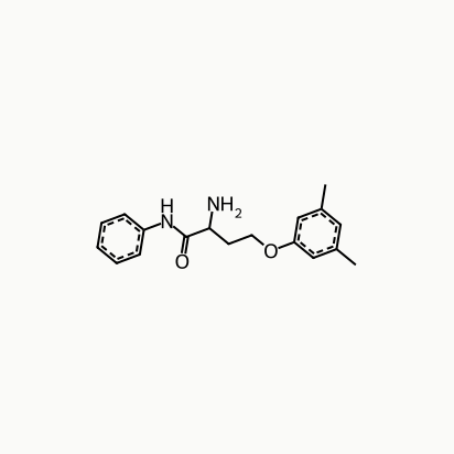 Cc1cc(C)cc(OCCC(N)C(=O)Nc2ccccc2)c1